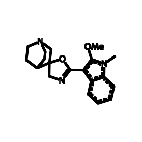 COc1c(C2=NCC3(CN4CCC3CC4)O2)c2ccccc2n1C